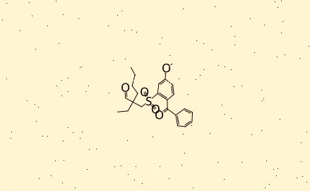 CCCCC(C=O)(CC)CS(=O)(=O)c1cc(OC)ccc1C(=O)c1ccccc1